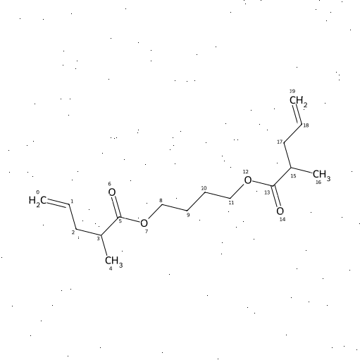 C=CCC(C)C(=O)OCCCCOC(=O)C(C)CC=C